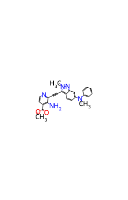 COC(=O)c1ccnc(C#Cc2c3ccc(N(C)c4ccccc4)cc3nn2C)c1N